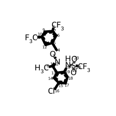 C/C(=N\OCc1cc(C(F)(F)F)cc(C(F)(F)F)c1)c1cc(Cl)ccc1NS(=O)(=O)C(F)(F)F